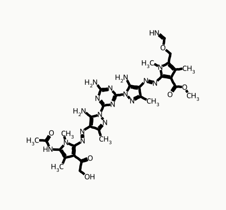 COC(=O)c1c(C)c(COC=N)n(C)c1/N=N/c1c(C)nn(-c2nc(N)nc(-n3nc(C)c(/N=N/c4c(C(=O)CO)c(C)c(NC(C)=O)n4C)c3N)n2)c1N